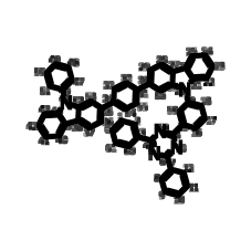 c1ccc(-c2nc(-c3ccccc3)nc(-c3cccc(-n4c5ccccc5c5ccc(-c6ccc(-c7ccc8c9ccccc9n(-c9ccccc9)c8c7)cc6)cc54)c3)n2)cc1